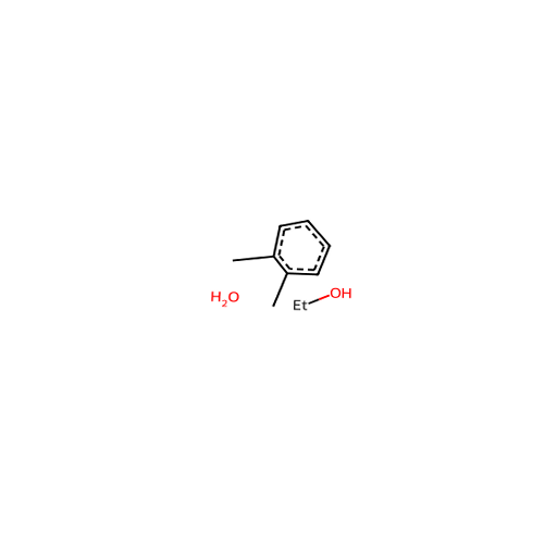 CCO.Cc1ccccc1C.O